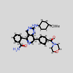 COC1CCC(Nc2ncc3c(-c4ccccc4C(N)=O)ncc(-c4ccc(C(=O)N5CCOCC5)cc4)c3n2)CC1